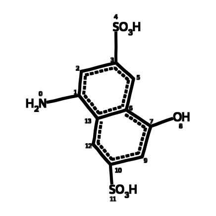 Nc1cc(S(=O)(=O)O)cc2c(O)cc(S(=O)(=O)O)cc12